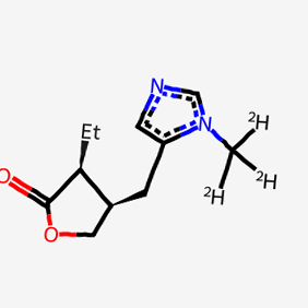 [2H]C([2H])([2H])n1cncc1C[C@H]1COC(=O)[C@H]1CC